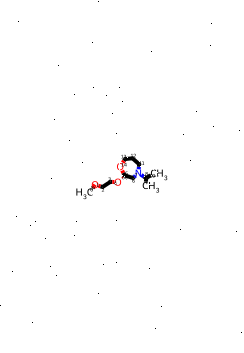 COCCO[C@H]1CN(C(C)C)CCCO1